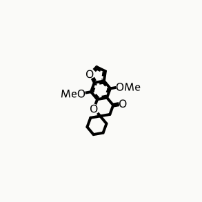 COc1c2c(c(OC)c3occc13)OC1(CCCCC1)CC2=O